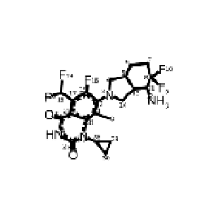 Cc1c(N2CC3CCC(F)(F)C(N)C3C2)c(F)c(C(F)F)c2c(=O)[nH]c(=O)n(C3CC3)c12